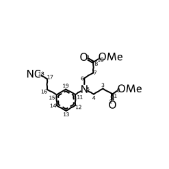 COC(=O)CCN(CCC(=O)OC)c1cccc(CCC#N)c1